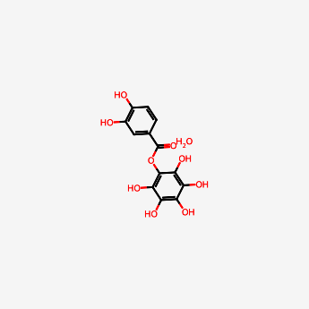 O.O=C(Oc1c(O)c(O)c(O)c(O)c1O)c1ccc(O)c(O)c1